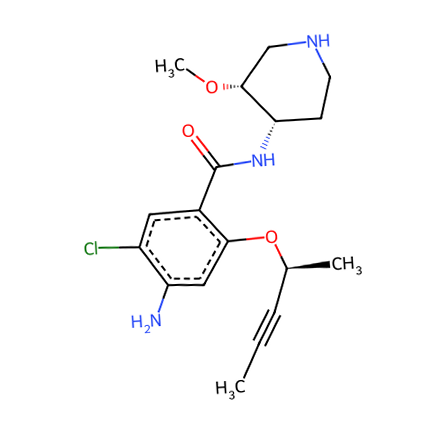 CC#C[C@H](C)Oc1cc(N)c(Cl)cc1C(=O)N[C@H]1CCNC[C@H]1OC